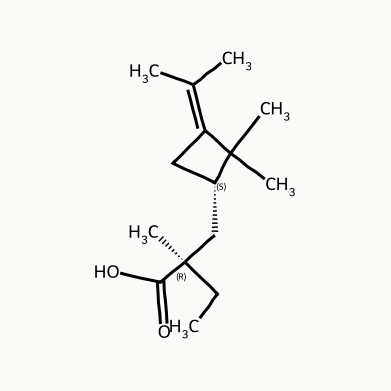 CC[C@](C)(C[C@@H]1CC(=C(C)C)C1(C)C)C(=O)O